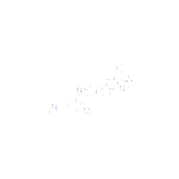 COc1cc2c(Oc3ccc(NC(=O)c4nc(-c5ccccc5)c5c(n4)C4CCN5CC4)cc3F)ccnc2cc1OCCCN1CCOCC1